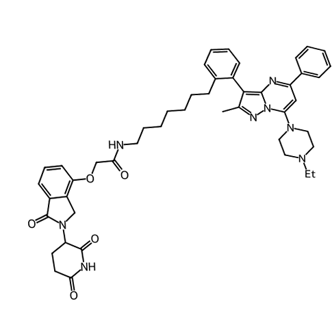 CCN1CCN(c2cc(-c3ccccc3)nc3c(-c4ccccc4CCCCCCCNC(=O)COc4cccc5c4CN(C4CCC(=O)NC4=O)C5=O)c(C)nn23)CC1